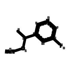 CNOC(C)c1cncc(F)c1